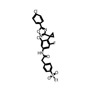 CCS(=O)(=O)c1ccc(CC(=O)Nc2cc(F)c(C3(c4noc(-c5ccc(Cl)cc5)n4)CC3)c(Cl)c2)cc1